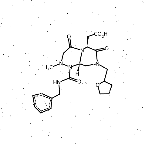 CN1CC(=O)N2[C@@H](CC(=O)O)C(=O)N(CC3CCCO3)C[C@@H]2N1C(=O)NCc1ccccc1